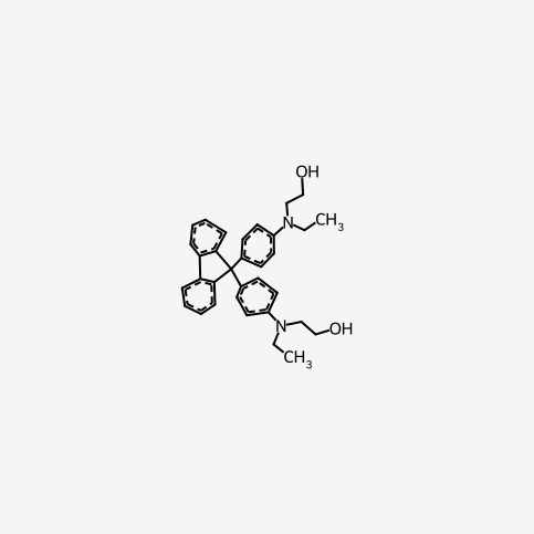 CCN(CCO)c1ccc(C2(c3ccc(N(CC)CCO)cc3)c3ccccc3-c3ccccc32)cc1